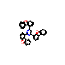 c1ccc2c(c1)oc1c(-c3cc(-c4cccc5oc6ccccc6c45)nc(-c4cccc5oc6ccccc6c45)n3)cccc12